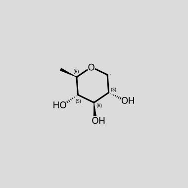 C[C@H]1O[CH][C@H](O)[C@@H](O)[C@@H]1O